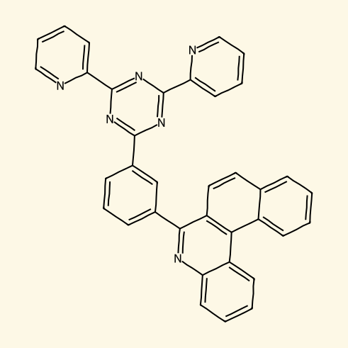 c1ccc(-c2nc(-c3cccc(-c4nc5ccccc5c5c4ccc4ccccc45)c3)nc(-c3ccccn3)n2)nc1